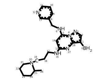 Bc1cnn2c(NCc3cccnc3)cc(NCCCN3CCCCC3C)nc12